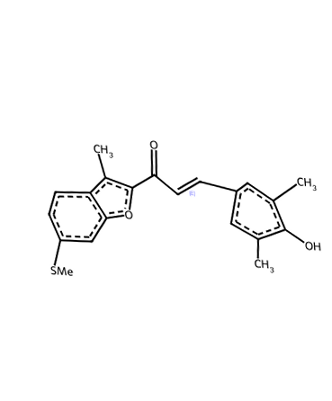 CSc1ccc2c(C)c(C(=O)/C=C/c3cc(C)c(O)c(C)c3)oc2c1